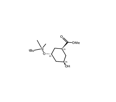 COC(=O)[C@H]1C[C@@H](O)C[C@H](O[Si](C)(C)C(C)(C)C)C1